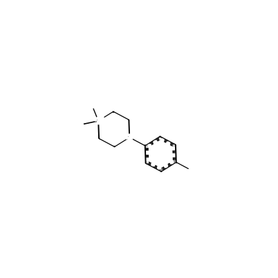 CC[N+]1(CC)CCN(c2ccc(C)cc2)CC1.[I-]